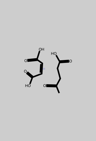 CC(=O)CCC(=O)O.O=C(O)/C=C\C(=O)O